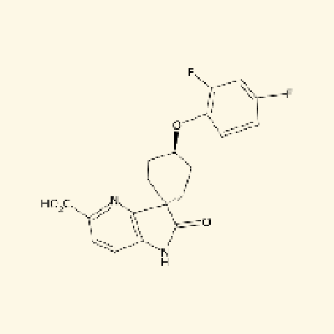 O=C(O)c1ccc2c(n1)[C@]1(CC[C@H](Oc3ccc(F)cc3F)CC1)C(=O)N2